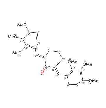 COc1ccc(/C=C2\CCC/C(=C\c3ccc(OC)c(OC)c3OC)C2=O)c(OC)c1OC